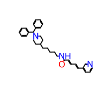 O=C(C=CC=Cc1cccnc1)NCCCCCC1CCN(C(c2ccccc2)c2ccccc2)CC1